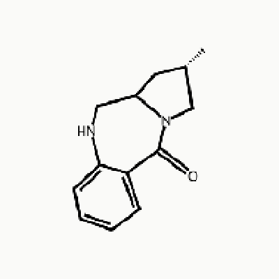 C[C@H]1CC2CNc3ccccc3C(=O)N2C1